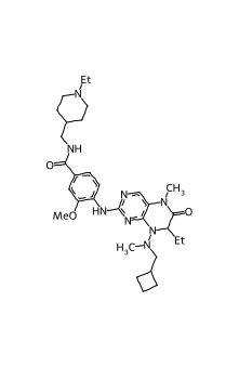 CCC1C(=O)N(C)c2cnc(Nc3ccc(C(=O)NCC4CCN(CC)CC4)cc3OC)nc2N1N(C)CC1CCC1